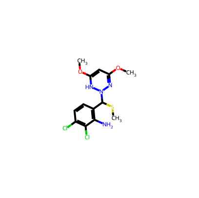 COC1=CC(OC)=NN(C(SC)c2ccc(Cl)c(Cl)c2N)N1